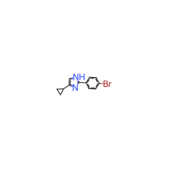 Brc1ccc(-c2nc(C3CC3)c[nH]2)cc1